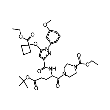 CCOC(=O)N1CCN(C(=O)C(CCC(=O)OC(C)(C)C)NC(=O)c2cc(OC3(C(=O)OCC)CCC3)n(-c3cccc(OC)c3)n2)CC1